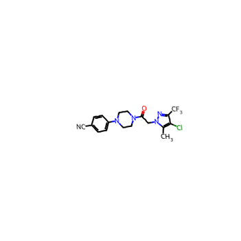 Cc1c(Cl)c(C(F)(F)F)nn1CC(=O)N1CCN(c2ccc(C#N)cc2)CC1